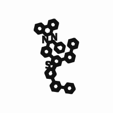 C1=CC(C2=NC3c4ccccc4-c4ccccc4C3N=C2c2cccc(-c3cc(-c4cccc(-c5ccccc5)c4)cc4c3sc3ccc(-c5cccc(-c6ccccc6)c5)cc34)c2)=CCC1